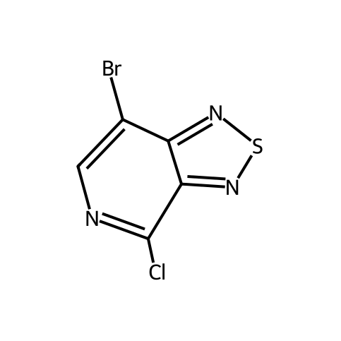 Clc1ncc(Br)c2nsnc12